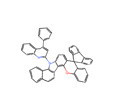 c1ccc(-c2cc(-n3c4ccc5c(c4c4ccc6ccccc6c43)Oc3ccccc3C53c4ccccc4-c4ccccc43)nc3ccccc23)cc1